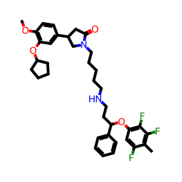 COc1ccc(C2CC(=O)N(CCCCCNCCC(Oc3cc(F)c(C)c(F)c3F)c3ccccc3)C2)cc1OC1CCCC1